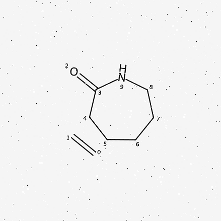 C=C.O=C1CCCCCN1